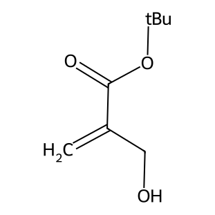 C=C(CO)C(=O)OC(C)(C)C